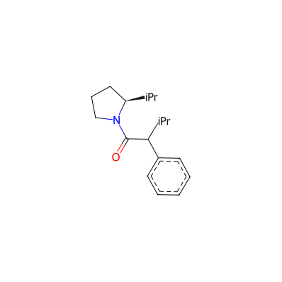 CC(C)C(C(=O)N1CCC[C@H]1C(C)C)c1ccccc1